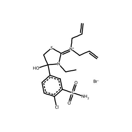 C=CC[N+](CC=C)=C1SCC(O)(c2ccc(Cl)c(S(N)(=O)=O)c2)N1CC.[Br-]